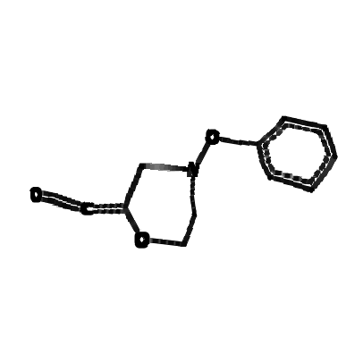 O=C=C1CN(Oc2ccccc2)CCO1